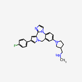 CNCC1CCN(c2ccc3c(c2)Cn2cc(-c4ccc(F)cc4)cc2-c2nccn2-3)C1